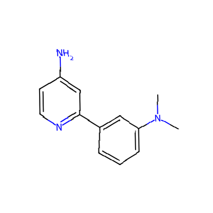 CN(C)c1cccc(-c2cc(N)ccn2)c1